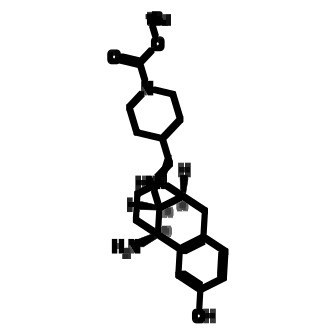 CN1CC[C@@]2(N)c3cc(O)ccc3C[C@@H]1[C@H]2NCC1CCN(C(=O)OC(C)(C)C)CC1